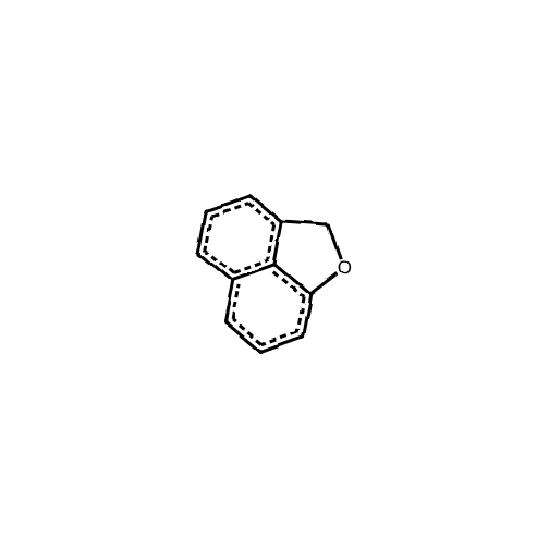 c1cc2c3c(cccc3c1)OC2